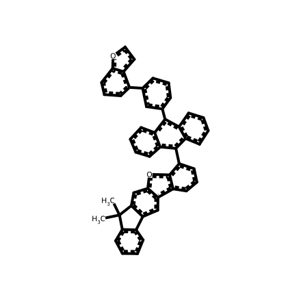 CC1(C)c2ccccc2-c2cc3c(cc21)oc1c(-c2c4ccccc4c(-c4cccc(-c5cccc6occc56)c4)c4ccccc24)cccc13